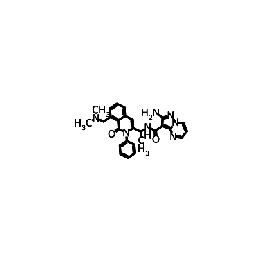 C[C@H](NC(=O)c1c(N)nn2cccnc12)c1cc2cccc(CN(C)C)c2c(=O)n1-c1ccccc1